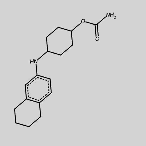 NC(=O)OC1CCC(Nc2ccc3c(c2)CCCC3)CC1